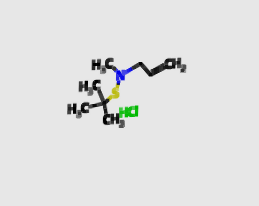 C=CCN(C)SC(C)(C)C.Cl